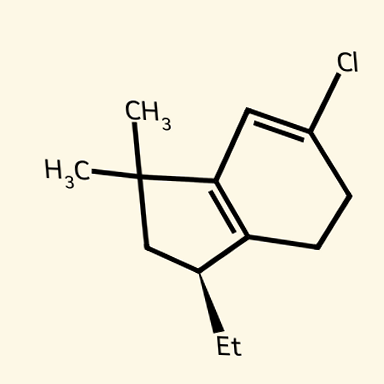 CC[C@H]1CC(C)(C)C2=C1CCC(Cl)=C2